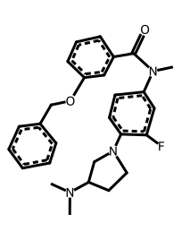 CN(C(=O)c1cccc(OCc2ccccc2)c1)c1ccc(N2CCC(N(C)C)C2)c(F)c1